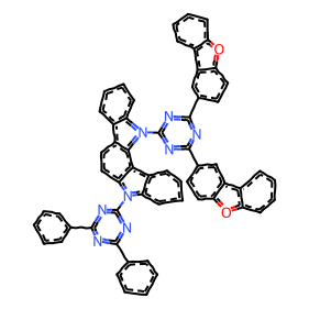 c1ccc(-c2nc(-c3ccccc3)nc(-n3c4ccccc4c4c3ccc3c5ccccc5n(-c5nc(-c6ccc7oc8ccccc8c7c6)nc(-c6ccc7oc8ccccc8c7c6)n5)c34)n2)cc1